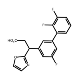 O=C(O)CC(c1cc(F)cc(-c2cccc(F)c2F)c1)c1ncco1